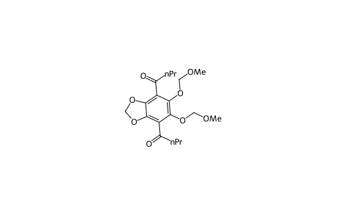 CCCC(=O)c1c(OCOC)c(OCOC)c(C(=O)CCC)c2c1OCO2